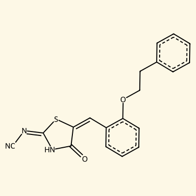 N#C/N=C1\NC(=O)/C(=C\c2ccccc2OCCc2ccccc2)S1